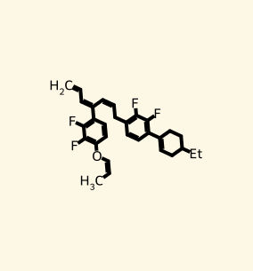 C=C/C=C(\C=C/Cc1ccc(C2=CCC(CC)CC2)c(F)c1F)c1ccc(O/C=C\C)c(F)c1F